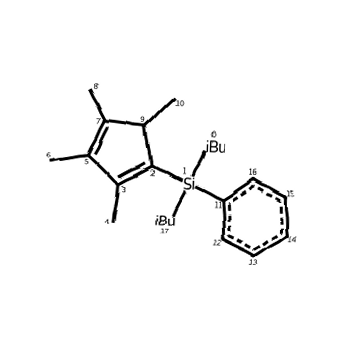 CCC(C)[Si](C1=C(C)C(C)=C(C)C1C)(c1ccccc1)C(C)CC